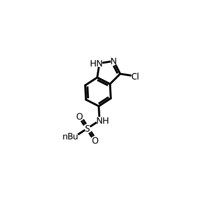 CCCCS(=O)(=O)Nc1ccc2[nH]nc(Cl)c2c1